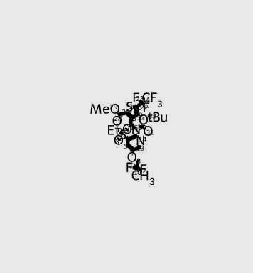 CCS(=O)(=O)c1cc(OCC(C)(F)F)cnc1N(Cc1cc(C(F)(F)C(F)(F)F)sc1C(=O)OC)C(=O)OC(C)(C)C